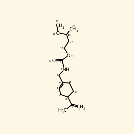 C=C(C)C1CC=C(CNC(=O)OCCC(C)OC)CC1